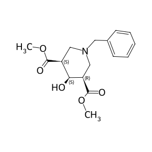 COC(=O)[C@H]1CN(Cc2ccccc2)C[C@@H](C(=O)OC)[C@H]1O